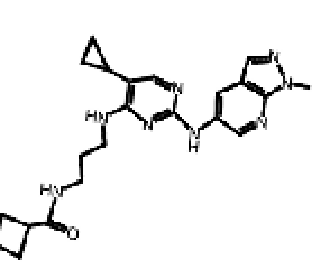 Cn1ncc2cc(Nc3ncc(C4CC4)c(NCCCNC(=O)C4CCC4)n3)cnc21